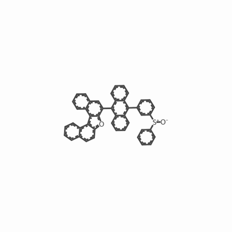 [O-][S+](c1ccccc1)c1cccc(-c2c3ccccc3c(-c3cc4ccccc4c4c3oc3ccc5ccccc5c34)c3ccccc23)c1